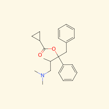 CC(CN(C)C)C(Cc1ccccc1)(OC(=O)C1CC1)c1ccccc1